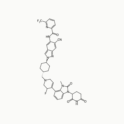 Cn1c(=O)n(C2CCC(=O)NC2=O)c2cccc(C3=CCN(C[C@H]4CC[C@H](n5cc6cc(NC(=O)c7cccc(C(F)(F)F)n7)c(C#N)cc6n5)CC4)CC3F)c21